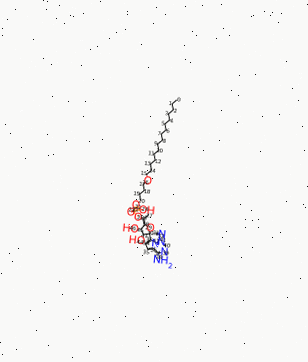 CCCCCCCCCCCCCCCCOCCCCOP(=O)(O)O/C(C)=C1/O[C@@](C#N)(c2ccc3c(N)ncnn23)[C@H](O)[C@@H]1O